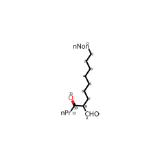 CCCCCCCCCCCCCCCCC([C]=O)C(=O)CCC